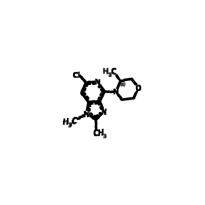 Cc1nc2c(N3CCOC[C@@H]3C)nc(Cl)cc2n1C